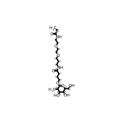 COC(=O)NCCOCCOCCCNC(=O)CCCOC1OC(CO)C(O)C(O)C1C